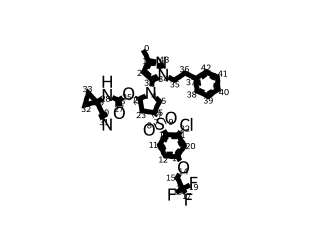 Cc1cc(N2C[C@H](S(=O)(=O)c3ccc(OCC(F)(F)F)cc3Cl)C[C@@H]2OC(=O)NC2(C#N)CC2)n(CCc2ccccc2)n1